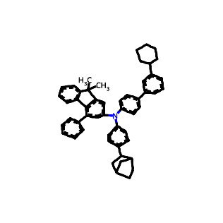 CC1(C)c2ccccc2-c2c(-c3ccccc3)cc(N(c3ccc(-c4cccc(C5CCCCC5)c4)cc3)c3ccc(C4CC5CCC4C5)cc3)cc21